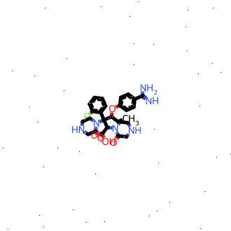 CCC(Oc1ccc(C(=N)N)cc1)C(c1ccccc1F)(C(C(=O)O)N1CCNCC1=O)N1CCNCC1=O